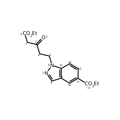 CCOC(=O)CC(=O)CCn1ncc2cc(C(=O)OCC)ccc21